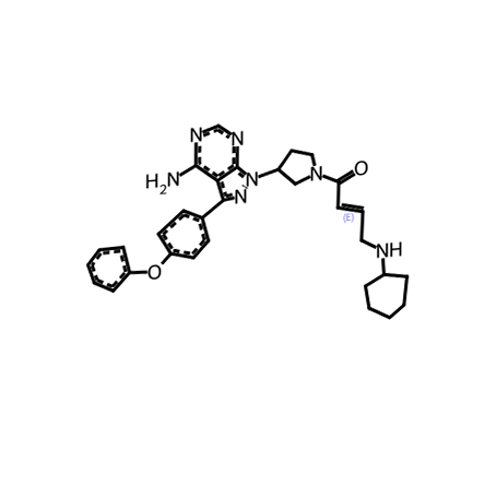 Nc1ncnc2c1c(-c1ccc(Oc3ccccc3)cc1)nn2C1CCN(C(=O)/C=C/CNC2CCCCC2)C1